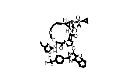 CCc1csc(N[C@H]2CCCCC/C=C\[C@@H]3C[C@@]3(C(=O)NS(=O)(=O)C3CC3)NC(=O)[C@@H]3C[C@@H](Oc4nc(-c5ccc(C(F)(F)F)cc5)nc5c4oc4ccccc45)CN3C2=O)n1